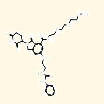 CCCOCCOCCOCCNC(=O)c1cc(NCCNC(=O)Nc2ccccc2)cc2c1C(=O)N(C1CCC(=O)NC1=O)C2